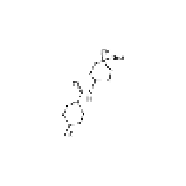 CC(=O)C1CCC(C(=O)NC2CCC(C(C)C)(C(C)(C)C)CC2)CC1